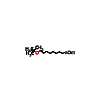 [CH2]CCCCCCCCCCCCCCCO[Si](C)(C)C